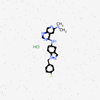 CN(C)c1cc2c(Nc3ccc4c(cnn4Cc4ccc(F)cc4)c3)ncnc2cn1.Cl